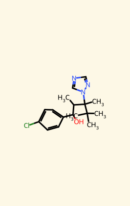 CC(C(O)c1ccc(Cl)cc1)C(C)(n1cncn1)C(C)(C)C